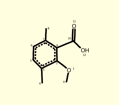 COc1c(C)ccc(C)c1C(=O)O